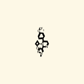 Cn1cc(C2N=CC=C(c3ccc(OC(F)(F)F)cc3)N2[C@@H]2CC[C@@H]2O)cn1